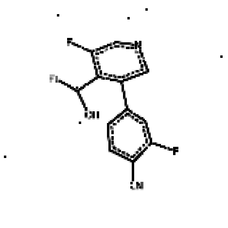 CCC(O)c1c(F)cncc1-c1ccc(C#N)c(F)c1